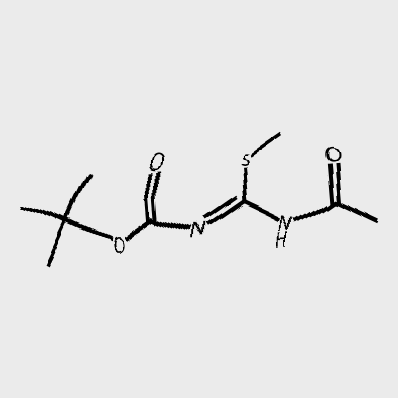 CS/C(=N\C(=O)OC(C)(C)C)NC(C)=O